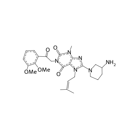 COc1cccc(C(=O)Cn2c(=O)c3c(nc(N4CCCC(N)C4)n3CC=C(C)C)n(C)c2=O)c1OC